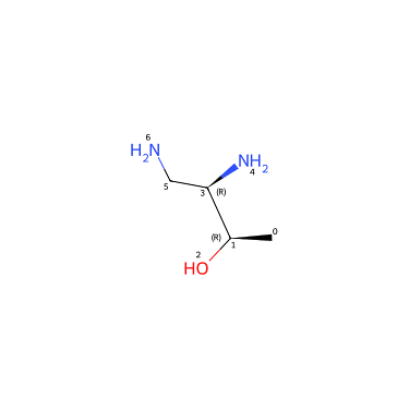 C[C@@H](O)[C@H](N)CN